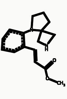 COC(=O)/C=C/c1ccccc1N1CCCC12CNC2